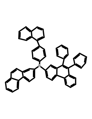 c1ccc(-c2c(-c3ccccc3)c3cc(N(c4ccc(-c5cccc6ccccc56)cc4)c4ccc5c(ccc6ccccc65)c4)ccc3c3ccccc23)cc1